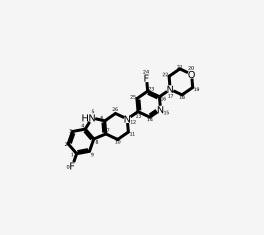 Fc1ccc2[nH]c3c(c2c1)CCN(c1cnc(N2CCOCC2)c(F)c1)C3